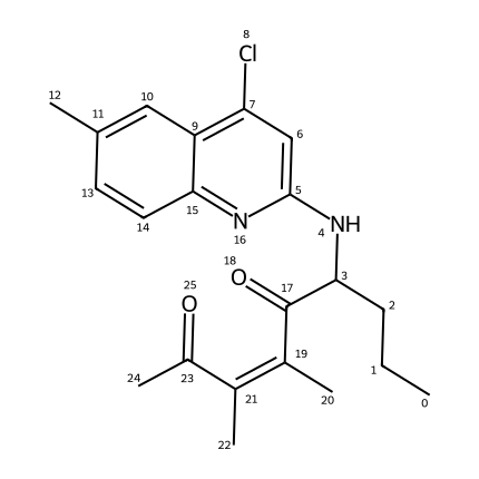 CCCC(Nc1cc(Cl)c2cc(C)ccc2n1)C(=O)/C(C)=C(/C)C(C)=O